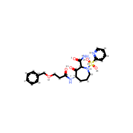 NC(=O)C1C(=O)[C@@H](NC(=O)[CH]COCc2ccccc2)CCCN1S(=O)(=O)c1ccccn1